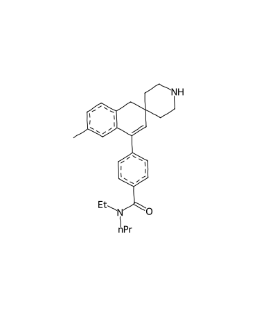 CCCN(CC)C(=O)c1ccc(C2=CC3(CCNCC3)Cc3ccc(C)cc32)cc1